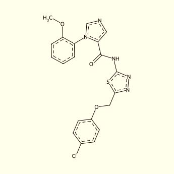 COc1ccccc1-n1cncc1C(=O)Nc1nnc(COc2ccc(Cl)cc2)s1